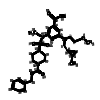 COCCN(C[C@@H]1C[C@H]1C)c1cc(C(=O)O)cc(N(C)S(=O)(=O)N2CCN(C(=O)OCc3ccccc3)CC2)n1